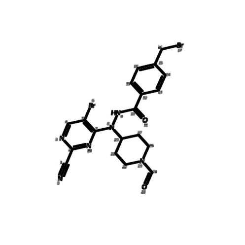 N#Cc1ncc(Br)c(N(NC(=O)c2ccc(CBr)cc2)C2CCN(C=O)CC2)n1